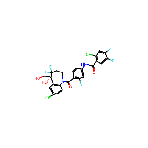 O=C(Nc1ccc(C(=O)N2CCC(F)(F)[C@](O)(CO)c3cc(Cl)ccc32)c(F)c1)c1cc(F)c(F)cc1Cl